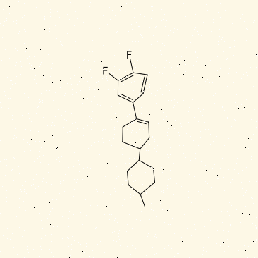 CC1CCC(C2CC=C(c3ccc(F)c(F)c3)CC2)CC1